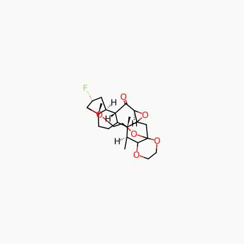 C[C@@H]1C2OCCOC23CC24O[C@@H]2C(=O)[C@@H]2C(CC[C@]5(C)C(OCCO3)[C@H](F)C[C@@H]25)[C@@]14C